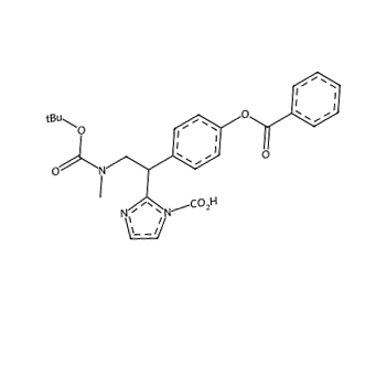 CN(CC(c1ccc(OC(=O)c2ccccc2)cc1)c1nccn1C(=O)O)C(=O)OC(C)(C)C